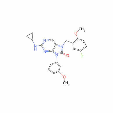 COc1cccc(-n2c(=O)n(Cc3cc(F)ccc3OC)c3cnc(NC4CC4)nc32)c1